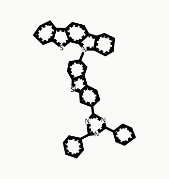 c1ccc(-c2nc(-c3ccccc3)nc(-c3ccc4c(c3)sc3ccc(-n5c6ccccc6c6ccc7c8ccccc8sc7c65)cc34)n2)cc1